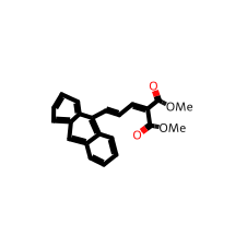 COC(=O)C(=CC=Cc1c2ccccc2cc2ccccc12)C(=O)OC